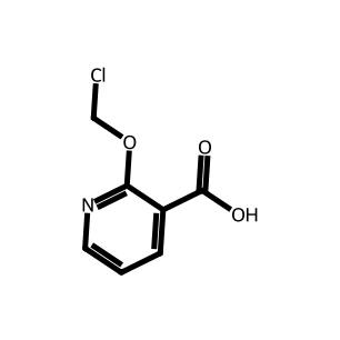 O=C(O)c1cccnc1OCCl